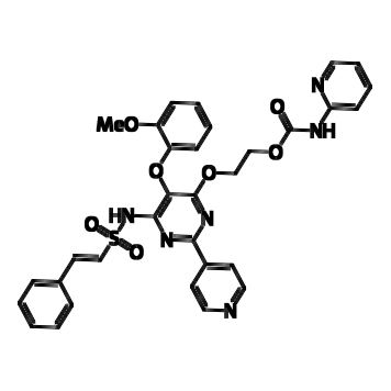 COc1ccccc1Oc1c(NS(=O)(=O)/C=C/c2ccccc2)nc(-c2ccncc2)nc1OCCOC(=O)Nc1ccccn1